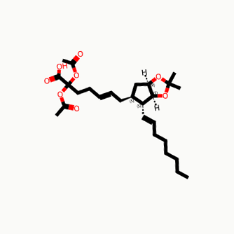 CCCCCCC=C[C@@H]1[C@@H](CC=CCCC(OC(C)=O)(OC(C)=O)C(=O)O)C[C@H]2OC(C)(C)O[C@@H]12